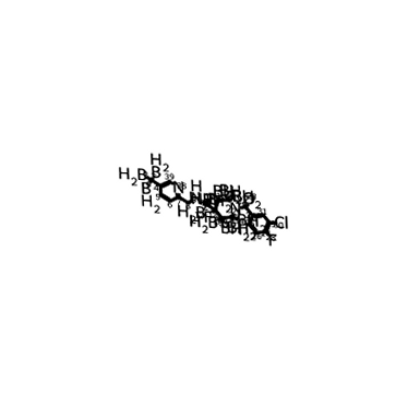 BC(B)(B)c1ccc(CNC(B)(B)C2(F)C(B)(B)C(B)(B)N(C(=O)c3ccc(F)c(Cl)c3)C(B)(B)C2(B)B)nc1